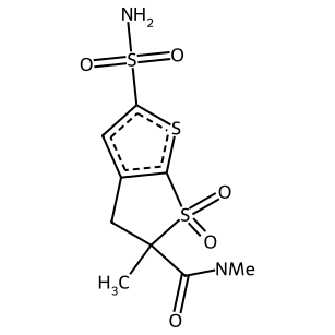 CNC(=O)C1(C)Cc2cc(S(N)(=O)=O)sc2S1(=O)=O